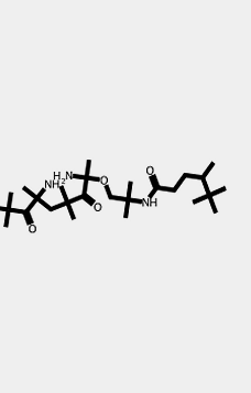 CC(CCC(=O)NC(C)(C)COC(C)(N)C(=O)C(C)(C)CC(C)(N)C(=O)C(C)(C)C)C(C)(C)C